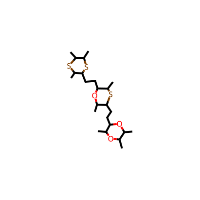 CC1OC(C)C(CCC2SC(C)C(CCC3SC(C)C(C)SC3C)OC2C)OC1C